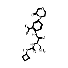 NC[C@H](NC(=O)NC1CCC1)C(=O)Nc1ccc(N2CCOCC2=O)cc1C(F)F